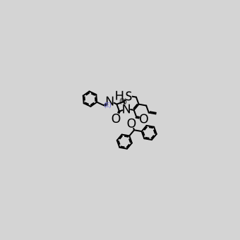 C=CCC1=C(C(=O)OC(c2ccccc2)c2ccccc2)N2C(=O)C(/N=C/c3ccccc3)[C@H]2SC1